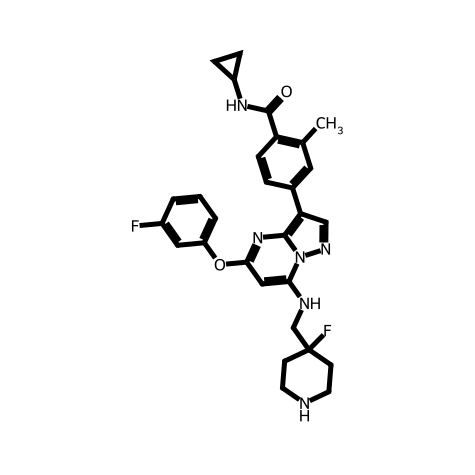 Cc1cc(-c2cnn3c(NCC4(F)CCNCC4)cc(Oc4cccc(F)c4)nc23)ccc1C(=O)NC1CC1